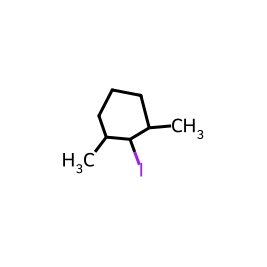 CC1CCCC(C)C1I